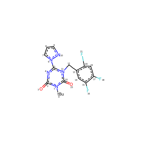 CC(C)(C)n1c(=O)nc(-n2cccn2)n(Cc2cc(F)c(F)cc2F)c1=O